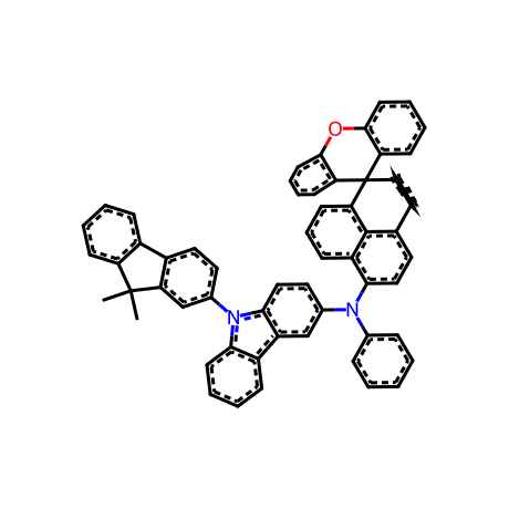 CC1(C)c2ccccc2-c2ccc(-n3c4ccccc4c4cc(N(c5ccccc5)c5ccc6c7c(cccc57)C5(c7ccccc7Oc7ccccc75)c5ccccc5-6)ccc43)cc21